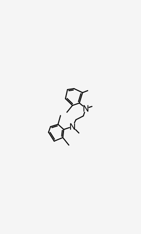 Cc1cccc(C)c1N(C)CCN(C)c1c(C)cccc1C